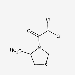 O=C(O)C1CSCN1C(=O)C(Cl)Cl